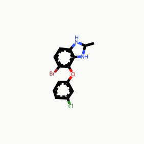 CC1Nc2ccc(Br)c(Oc3cccc(Cl)c3)c2N1